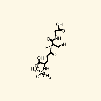 C[As](C)(=O)NC(CCC(=O)NC(CS)C(=O)NCC(=O)O)C(=O)O